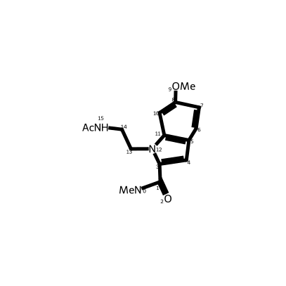 CNC(=O)c1cc2ccc(OC)cc2n1CCNC(C)=O